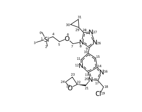 C[Si](C)(C)CCOCn1c(-c2cnc3c(c2)nc(CCl)n3C[C@@H]2CCO2)nnc1C1CC1